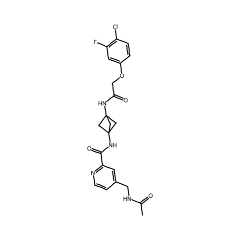 CC(=O)NCc1ccnc(C(=O)NC23CC(NC(=O)COc4ccc(Cl)c(F)c4)(C2)C3)c1